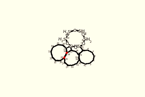 C1CCCCC([SiH]2O[SiH2]O[SiH2]O[SiH2]O[SiH2]O[Si](C3CCCCCCCCC3)(C3CCCCCCCCC3)O2)CCCC1